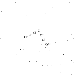 [Cl-].[Cl-].[Cl-].[Cl-].[Cl-].[Cl-].[Cr+6]